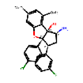 COc1cc(OC)c2c(c1)O[C@@]1(c3ccc(Cl)cc3)[C@H](c3cccc(F)c3)C[C@H](N)[C@@]21O